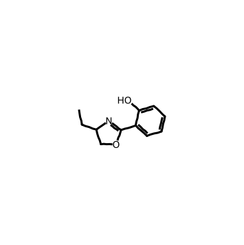 CCC1COC(c2ccccc2O)=N1